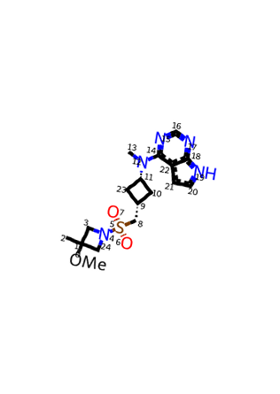 COC1(C)CN(S(=O)(=O)C[C@H]2C[C@@H](N(C)c3ncnc4[nH]ccc34)C2)C1